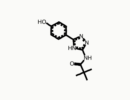 CC(C)(C)C(=O)Nc1nnc(-c2ccc(O)cc2)[nH]1